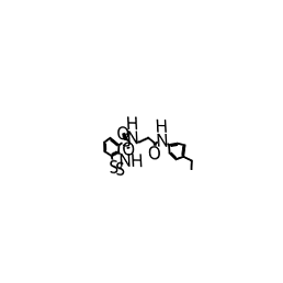 CCc1ccc(NC(=O)CCNS(=O)(=O)c2cccc3c2NSS3)cc1